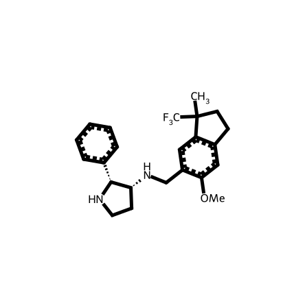 COc1cc2c(cc1CN[C@@H]1CCN[C@@H]1c1ccccc1)C(C)(C(F)(F)F)CC2